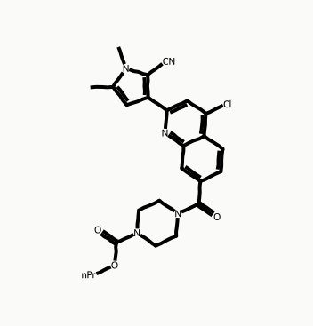 CCCOC(=O)N1CCN(C(=O)c2ccc3c(Cl)cc(-c4cc(C)n(C)c4C#N)nc3c2)CC1